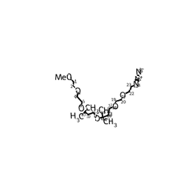 COCCOCCOC(C)(C)CCOC(C)(C)CCOCCOCCN=[N+]=[N-]